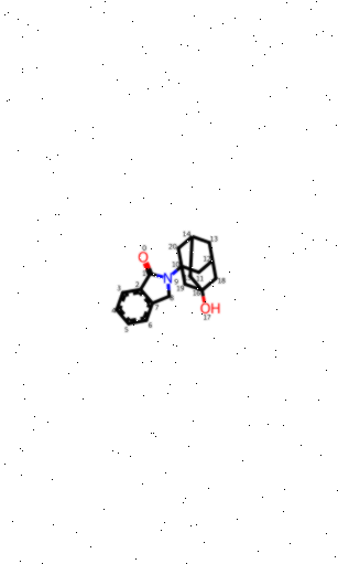 O=C1c2ccccc2CN1C12CC3CC(CC(O)(C3)C1)C2